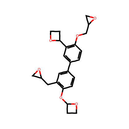 c1cc(OC2CCO2)c(CC2CO2)cc1-c1ccc(OCC2CO2)c(C2CCO2)c1